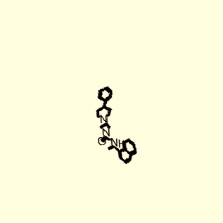 CC(NC(=O)N1CC(N2CCC(c3ccccc3)CC2)C1)c1cccc2ccccc12